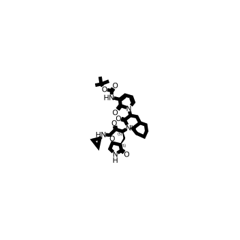 CC(C)(C)OC(=O)Nc1cccn(C(CC2CCCCC2)C(=O)N[C@@H](C[C@@H]2CCNC2=O)C(=O)C(=O)NC2CC2)c1=O